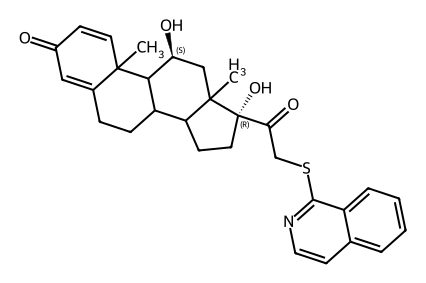 CC12C=CC(=O)C=C1CCC1C2[C@@H](O)CC2(C)C1CC[C@]2(O)C(=O)CSc1nccc2ccccc12